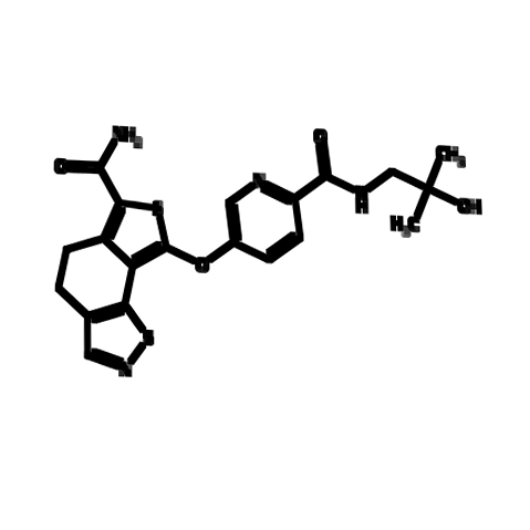 CC(C)(O)CNC(=O)c1ccc(Oc2sc(C(N)=O)c3c2-c2sncc2CC3)cn1